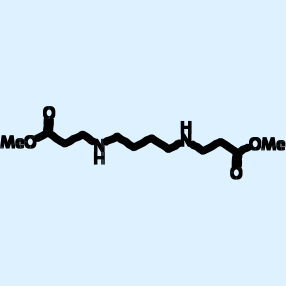 COC(=O)CCNCCCCNCCC(=O)OC